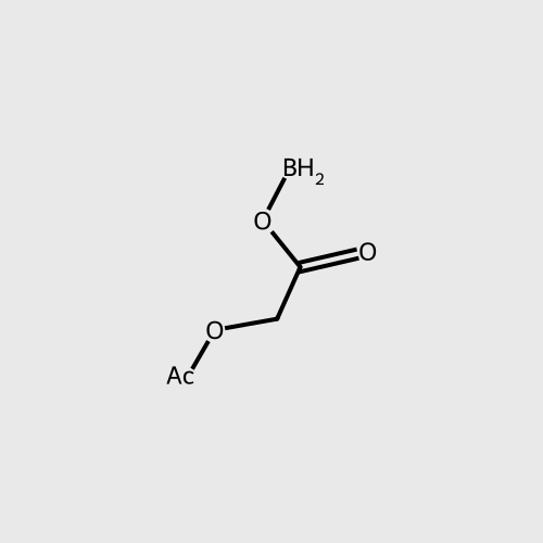 BOC(=O)COC(C)=O